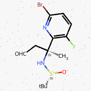 CC(C)(C)[S@@+]([O-])N[C@@](C)(CC=O)c1nc(Br)ccc1F